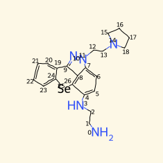 NCCNc1ccc2c3c(nn2CCN2CCCC2)-c2ccccc2[Se]c13